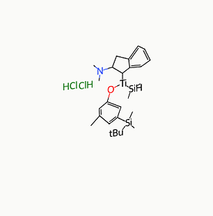 Cc1cc([O][Ti]([CH]2c3ccccc3CC2N(C)C)[SiH](C)C)cc([Si](C)(C)C(C)(C)C)c1.Cl.Cl